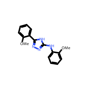 COc1ccccc1Nc1nnc(-c2ccccc2OC)[nH]1